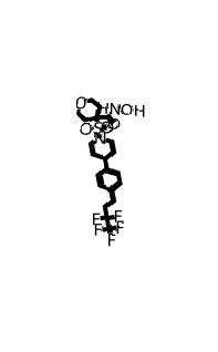 O=C(NO)C1(S(=O)(=O)N2CCC(c3ccc(CCC(F)(F)C(F)(F)F)cc3)CC2)CCOCC1